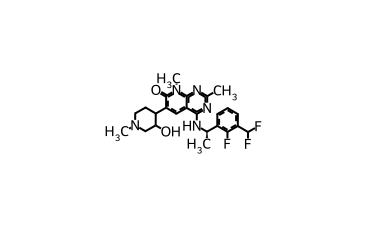 Cc1nc(N[C@H](C)c2cccc(C(F)F)c2F)c2cc(C3CCN(C)CC3O)c(=O)n(C)c2n1